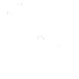 Cc1cc(C)c(Cc2ccccc2)c(NC(=O)c2ccccc2)c1.[Cl][Pd][Cl]